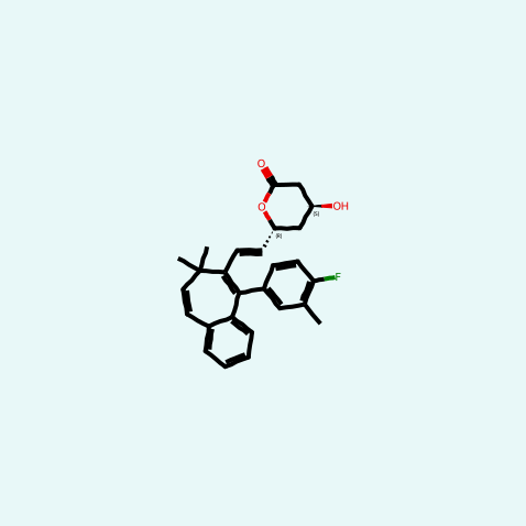 Cc1cc(C2=C(C=C[C@H]3C[C@H](O)CC(=O)O3)C(C)(C)C=Cc3ccccc32)ccc1F